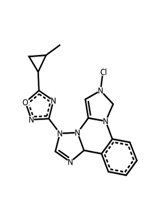 CC1CC1c1nc(N2C=NC3c4ccccc4N4CN(Cl)C=C4N32)no1